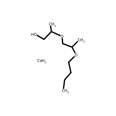 CCCCOC(C)COC(C)CO.[CaH2]